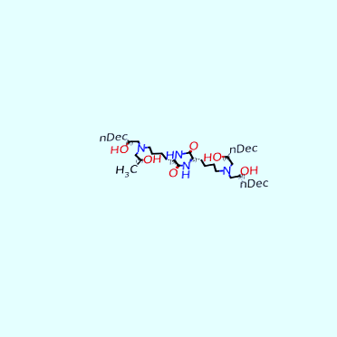 CCCCCCCCCC[C@@H](O)CN(CCCC[C@@H]1NC(=O)[C@H](CCCCN(C[C@H](O)CCCCCCCCCC)C[C@H](C)O)NC1=O)C[C@H](O)CCCCCCCCCC